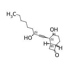 CCCCCC[C@H](O)C#C[C@@H]1[C@H]2CC(=O)[C@H]2CC[C@H]1O